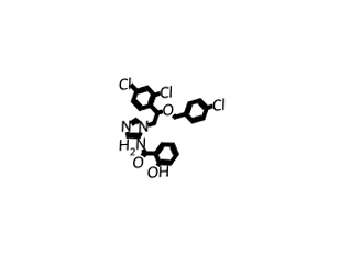 Clc1ccc(COC(Cn2ccnc2)c2ccc(Cl)cc2Cl)cc1.NC(=O)c1ccccc1O